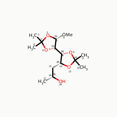 CO[C@H]1OC(C)(C)O[C@H]1[C@@H]1OC(C)(C)O[C@@H]1C[C@@H](C)O